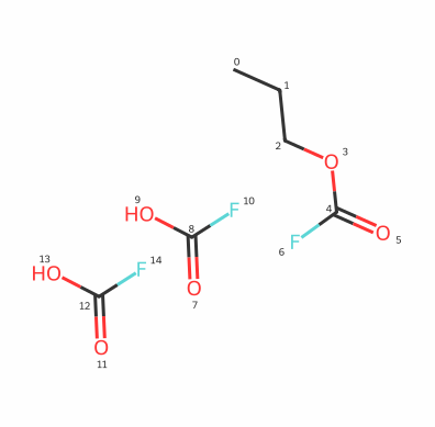 CCCOC(=O)F.O=C(O)F.O=C(O)F